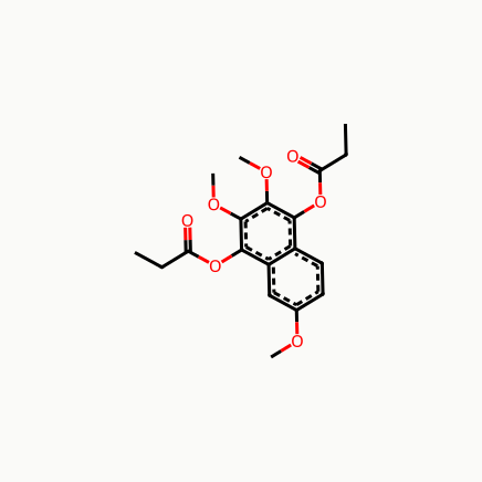 CCC(=O)Oc1c(OC)c(OC)c(OC(=O)CC)c2cc(OC)ccc12